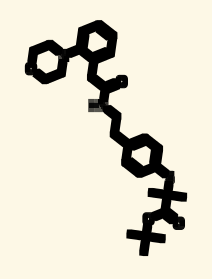 CC(C)(C)OC(=O)C(C)(C)Sc1ccc(CCNC(=O)Cc2ccccc2N2CCOCC2)cc1